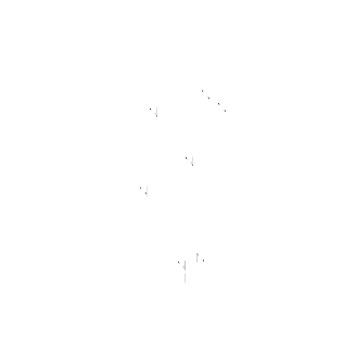 Cc1cccc(-c2n[nH]cc2-c2ccc3ncc(-c4cn[nH]c4)cc3n2)n1